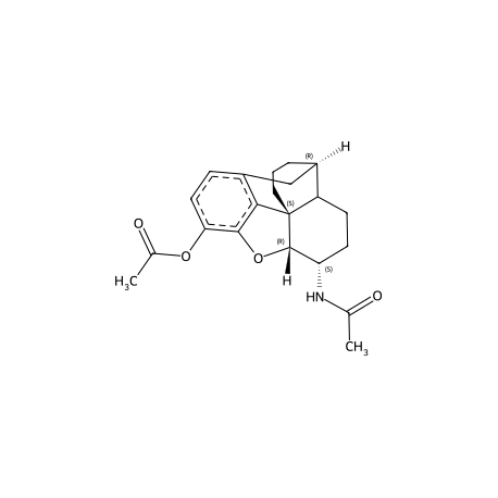 CC(=O)N[C@H]1CCC2[C@@H]3CCC[C@@]24c2c(ccc(OC(C)=O)c2O[C@@H]14)C3